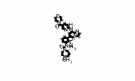 Cc1c(NC(=O)N2CCCN(C)CC2)cccc1-c1cc(Nc2ccc(C(=O)N3CCOCC3)cn2)c2nccn2c1